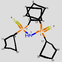 S=P(NP(=S)(C1CCC1)C1CCC1)(C1CCC1)C1CCC1